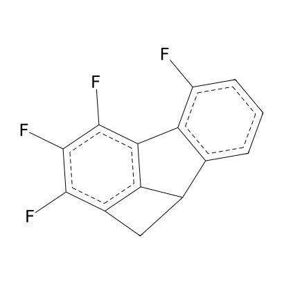 Fc1cccc2c1-c1c(F)c(F)c(F)c3c1C2C3